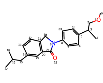 COCC(C)c1ccc(N2Cc3ccc(CC(C)C)cc3C2=O)cc1